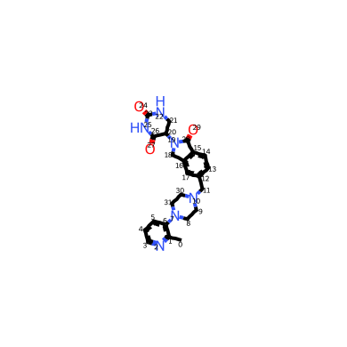 Cc1ncccc1N1CCN(Cc2ccc3c(c2)CN(C2CNC(=O)NC2=O)C3=O)CC1